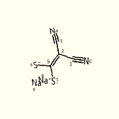 N#CC(C#N)=C([S-])[S-].[Na+].[Na+]